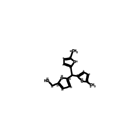 Cc1ccc(C(c2ccc(C)o2)c2ccc(CO)o2)o1